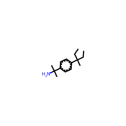 CCC(C)(CC)c1ccc(C(C)(C)N)cc1